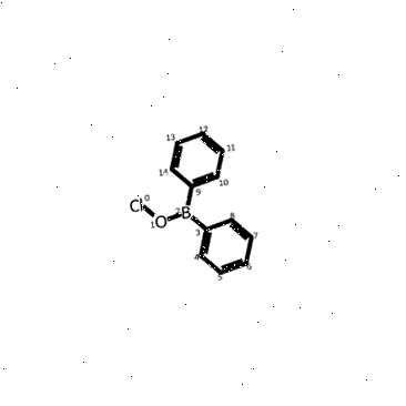 ClOB(c1ccccc1)c1ccccc1